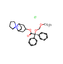 CCOC(=O)OCOC(C(=O)OC1CC2CCC(C1)[N+]21CCCC1)(c1ccccc1)c1ccccc1.[Cl-]